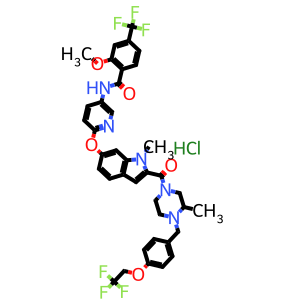 COc1cc(C(F)(F)F)ccc1C(=O)Nc1ccc(Oc2ccc3cc(C(=O)N4CCN(Cc5ccc(OCC(F)(F)F)cc5)C(C)C4)n(C)c3c2)nc1.Cl